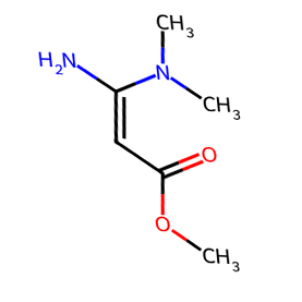 COC(=O)C=C(N)N(C)C